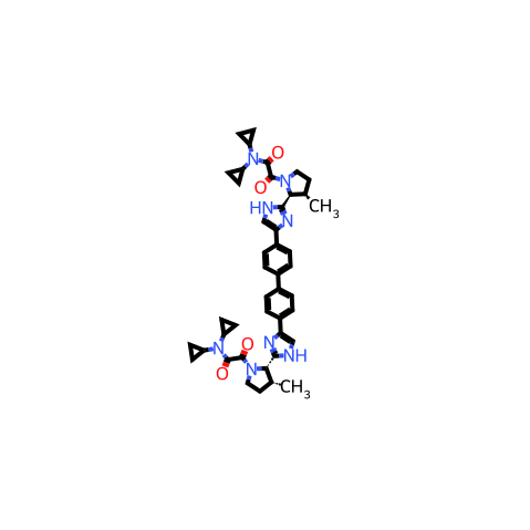 C[C@@H]1CCN(C(=O)C(=O)N(C2CC2)C2CC2)[C@@H]1c1nc(-c2ccc(-c3ccc(-c4c[nH]c([C@@H]5[C@H](C)CCN5C(=O)C(=O)N(C5CC5)C5CC5)n4)cc3)cc2)c[nH]1